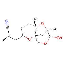 C[C@@H](C#N)CC1CC[C@@H]2O[C@@H]3CC2(COC3O)O1